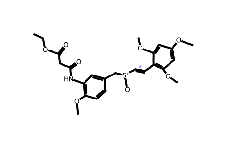 CCOC(=O)CC(=O)Nc1cc(C[S+]([O-])/C=C/c2c(OC)cc(OC)cc2OC)ccc1OC